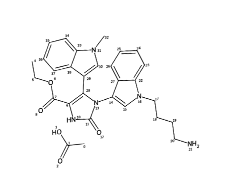 CC(=O)O.CCOC(=O)c1[nH]c(=O)n(-c2cn(CCCCN)c3ccccc23)c1-c1cn(C)c2ccccc12